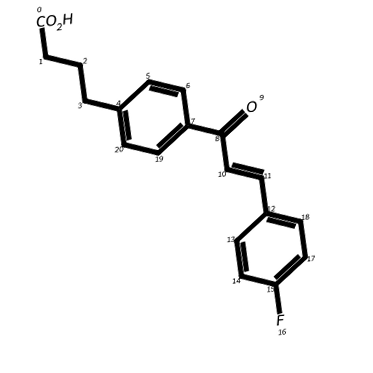 O=C(O)CCCc1ccc(C(=O)C=Cc2ccc(F)cc2)cc1